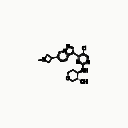 CN1CC(c2ccc3c(-c4nc(N[C@@H]5CCOC[C@H]5O)ncc4Cl)cnn3c2)C1